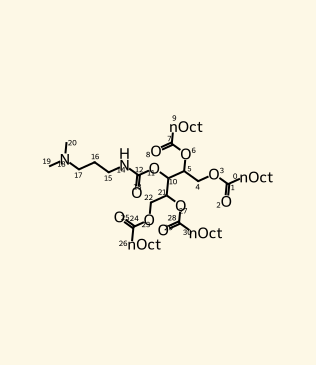 CCCCCCCCC(=O)OCC(OC(=O)CCCCCCCC)C(OC(=O)NCCCN(C)C)C(COC(=O)CCCCCCCC)OC(=O)CCCCCCCC